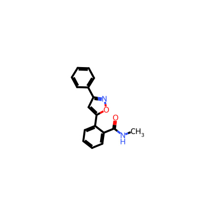 CNC(=O)c1ccccc1-c1cc(-c2ccccc2)no1